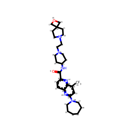 O=C(NC1CCN(CCN2CCC3(CC2)COC3)CC1)c1ccc2nc(N3CCCCCC3)cc(C(F)(F)F)c2n1